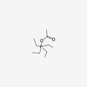 CCP(CC)(CC)(CC)OC(C)=O